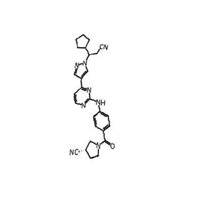 N#CCC(C1CCCC1)n1cc(-c2ccnc(Nc3ccc(C(=O)N4CC[C@H](C#N)C4)cc3)n2)cn1